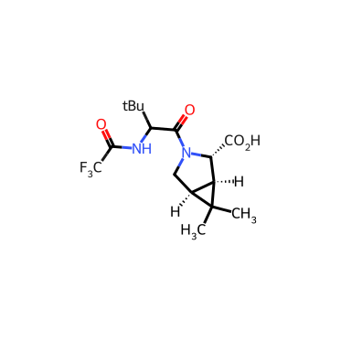 CC(C)(C)C(NC(=O)C(F)(F)F)C(=O)N1C[C@H]2[C@@H]([C@H]1C(=O)O)C2(C)C